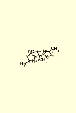 CCCCCCCCC(C)(C1=NC(C)CO1)C1=NC(C)CO1